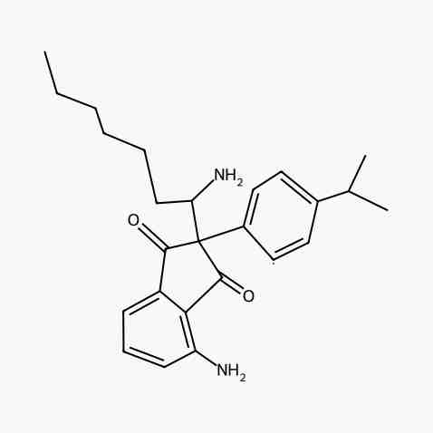 CCCCCCC(N)C1(c2[c]cc(C(C)C)cc2)C(=O)c2cccc(N)c2C1=O